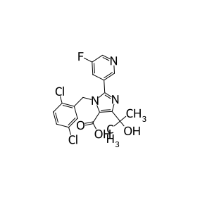 CC(C)(O)c1nc(-c2cncc(F)c2)n(Cc2cc(Cl)ccc2Cl)c1C(=O)O